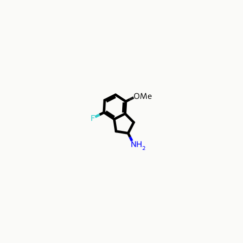 COc1ccc(F)c2c1CC(N)C2